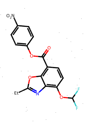 CCc1nc2c(OC(F)F)ccc(C(=O)Oc3ccc([N+](=O)[O-])cc3)c2o1